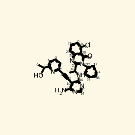 CC(O)c1cccc(C#Cc2c(N)ncnc2NC(C)c2nc3cccc(Cl)c3c(=O)n2-c2ccccc2)n1